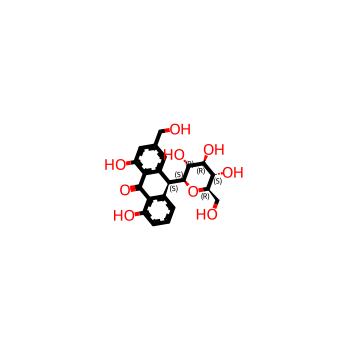 O=C1c2c(O)cccc2[C@H]([C@@H]2O[C@H](CO)[C@@H](O)[C@H](O)[C@H]2O)c2cc(CO)cc(O)c21